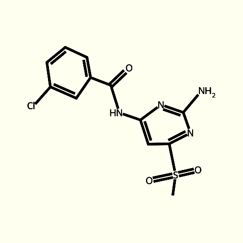 CS(=O)(=O)c1cc(NC(=O)c2cccc(Cl)c2)nc(N)n1